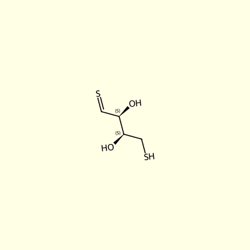 O[C@H](C=S)[C@H](O)CS